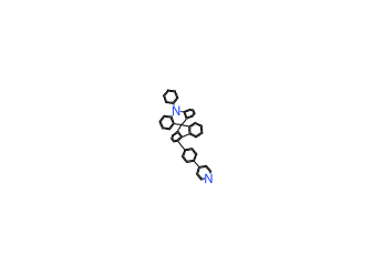 c1ccc(N2c3ccccc3C3(c4ccccc4-c4c(-c5ccc(-c6ccncc6)cc5)cccc43)c3ccccc32)cc1